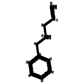 N=NCNCc1ccccc1